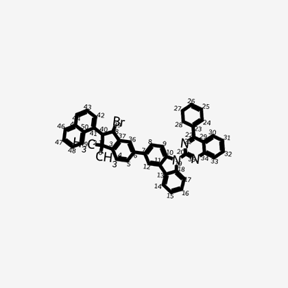 CC1(C)c2ccc(-c3ccc4c(c3)c3ccccc3n4-c3nc(C4=CC=CCC4)c4ccccc4n3)cc2C(Br)C1c1cccc2ccccc12